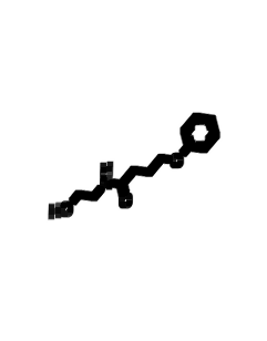 O=C(CCCOc1ccccc1)NCCO